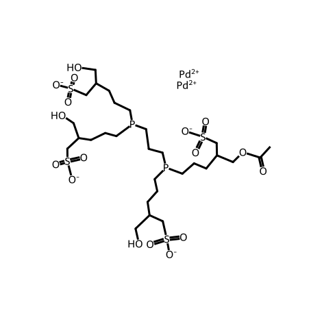 CC(=O)OCC(CCCP(CCCC(CO)CS(=O)(=O)[O-])CCCP(CCCC(CO)CS(=O)(=O)[O-])CCCC(CO)CS(=O)(=O)[O-])CS(=O)(=O)[O-].[Pd+2].[Pd+2]